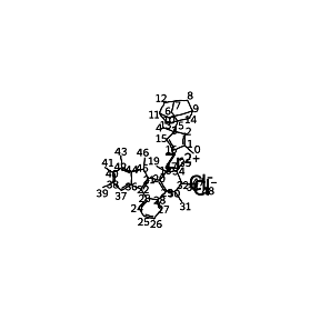 CC1=CC(C)(C23CC4CC(CC(C4)C2)C3)C=[C]1[Zr+2][C]1(C)c2c3c(c4ccccc4c2C(C)C(C)C1C)-c1cc(C)c(C)c(C)c1C3C.[Cl-].[Cl-]